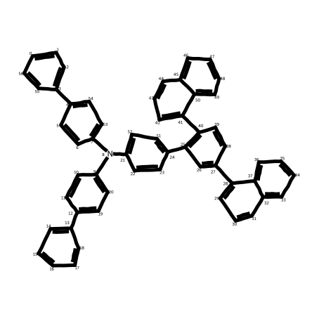 c1ccc(-c2ccc(N(c3ccc(-c4ccccc4)cc3)c3ccc(-c4cc(-c5cccc6ccccc56)ccc4-c4cccc5ccccc45)cc3)cc2)cc1